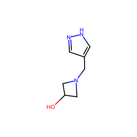 OC1CN(Cc2cn[nH]c2)C1